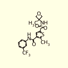 Cc1sc(S(=O)(=O)NC2(C)COC2)cc1C(=O)Nc1cccc(C(F)(F)F)c1